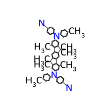 Cc1ccc(N(c2ccc(C#N)cc2)c2cc(C)c3c(c2)C(C)(C)c2cc4c(cc2-3)C(C)(C)c2cc(N(c3ccc(C)cc3)c3ccc(C#N)cc3)cc(C)c2-4)cc1